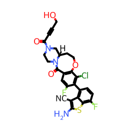 N#Cc1c(N)sc2c(F)ccc(-c3c(F)cc4c(c3Cl)OCC[C@H]3CN(C(=O)C#CCO)CCN3C4=O)c12